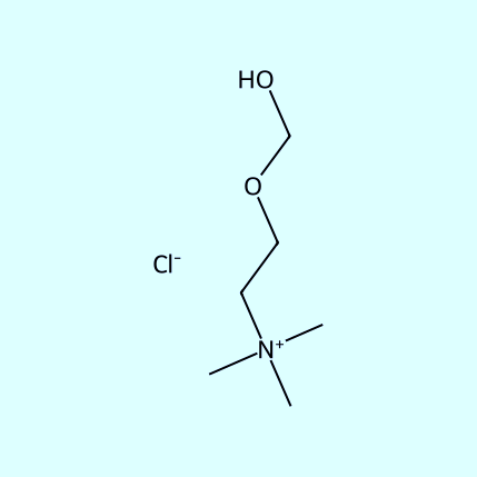 C[N+](C)(C)CCOCO.[Cl-]